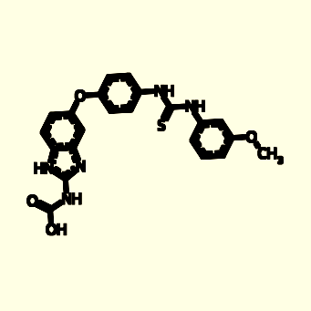 COc1cccc(NC(=S)Nc2ccc(Oc3ccc4[nH]c(NC(=O)O)nc4c3)cc2)c1